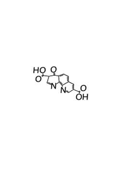 O=C(O)c1cnc2c3c(ccc2c1)C(=O)C(C(=O)O)C=N3